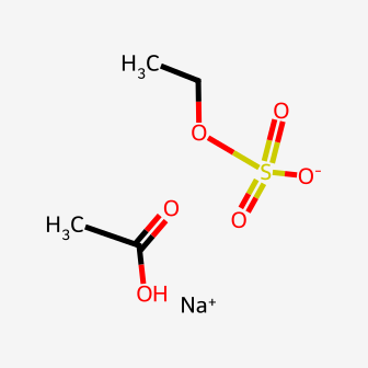 CC(=O)O.CCOS(=O)(=O)[O-].[Na+]